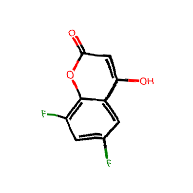 O=c1cc(O)c2cc(F)cc(F)c2o1